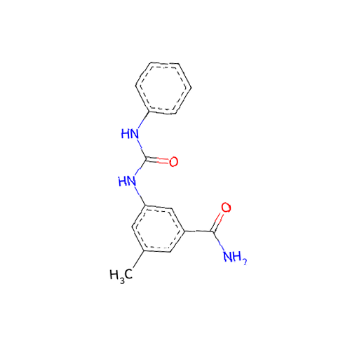 Cc1cc(NC(=O)Nc2ccccc2)cc(C(N)=O)c1